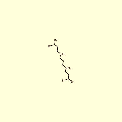 BrC(Br)CC[SiH2]CCC[SiH2]CCC(Br)Br